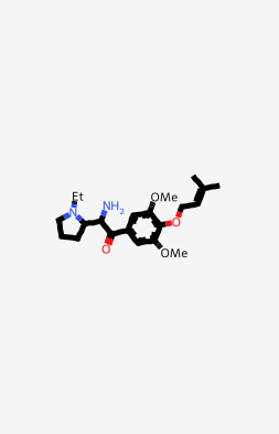 CCN1CCCC1C(N)C(=O)c1cc(OC)c(OCC=C(C)C)c(OC)c1